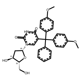 COc1ccc(C(c2ccccc2)(c2ccc(OC)cc2)c2cn([C@H]3C[C@H](O)[C@@H](CO)O3)c(=O)[nH]c2=O)cc1